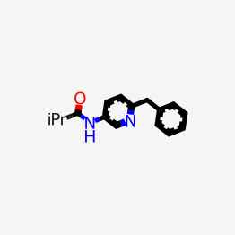 CC(C)C(=O)Nc1ccc(Cc2ccccc2)nc1